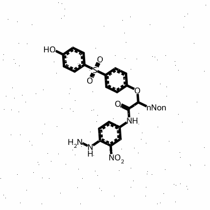 CCCCCCCCCC(Oc1ccc(S(=O)(=O)c2ccc(O)cc2)cc1)C(=O)Nc1ccc(NN)c([N+](=O)[O-])c1